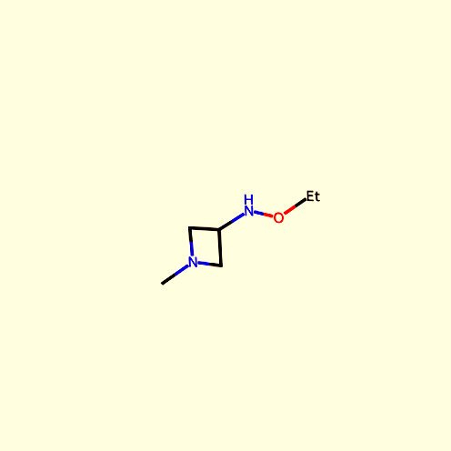 CCONC1CN(C)C1